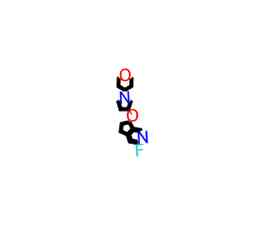 Fc1cc2c(cn1)C(O[C@@H]1CCN(C3CCOCC3)C1)CC2